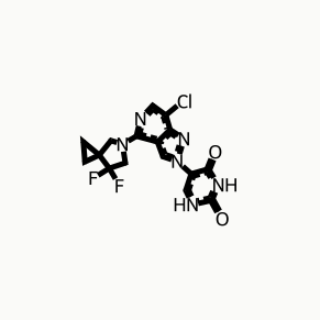 O=c1[nH]cc(-n2cc3c(N4CC(F)(F)C5(CC5)C4)ncc(Cl)c3n2)c(=O)[nH]1